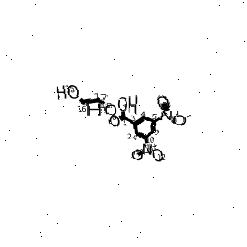 O=C(O)c1cc([N+](=O)[O-])cc([N+](=O)[O-])c1.OCCO